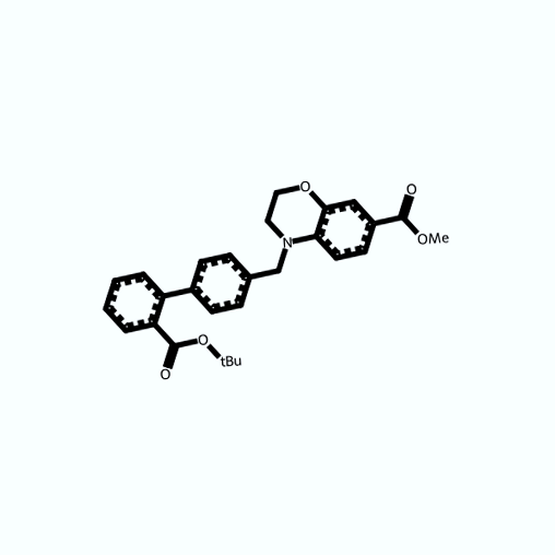 COC(=O)c1ccc2c(c1)OCCN2Cc1ccc(-c2ccccc2C(=O)OC(C)(C)C)cc1